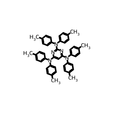 Cc1ccc(N(c2ccc(C)cc2)c2cc(N(c3ccc(C)cc3)c3ccc(C)cc3)nc(N(c3ccc(C)cc3)c3ccc(C)cc3)n2)cc1